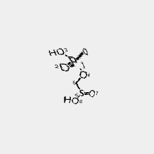 CP(=O)(O)OCS(=O)O